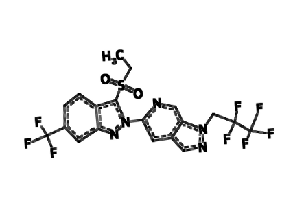 CCS(=O)(=O)c1c2ccc(C(F)(F)F)cc2nn1-c1cc2cnn(CC(F)(F)C(F)(F)F)c2cn1